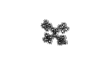 c1ccc(C2(c3ccccc3)c3ccccc3-c3ccc(-c4ccc5c(c4)c4cc(-c6ccc7c(c6)C(c6ccccc6)(c6ccccc6)c6ccccc6-7)ccc4n5-c4cc(-c5ccc([Si](c6ccccc6)(c6ccccc6)c6ccccc6)cc5)cc(-c5ccc([Si](c6ccccc6)(c6ccccc6)c6ccccc6)cc5)c4)cc32)cc1